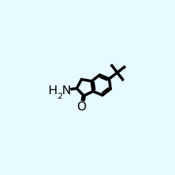 CC(C)(C)c1ccc2c(c1)CC(N)C2=O